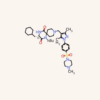 CCCCN1C(=O)[C@H](CC2CCCCC2)NC(=O)C12CCN(Cc1c(C)nn(-c3ccc(S(=O)(=O)N4CCN(C)CC4)cc3)c1C)CC2